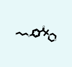 CC(C)(C(=O)c1ccc(OCCCI)cc1)N1CCOCC1